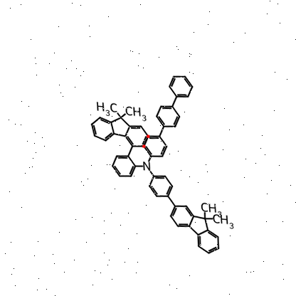 CC1(C)c2ccccc2-c2ccc(-c3ccc(N(c4ccc(-c5ccc(-c6ccccc6)cc5)cc4)c4ccccc4-c4cccc5c4-c4ccccc4C5(C)C)cc3)cc21